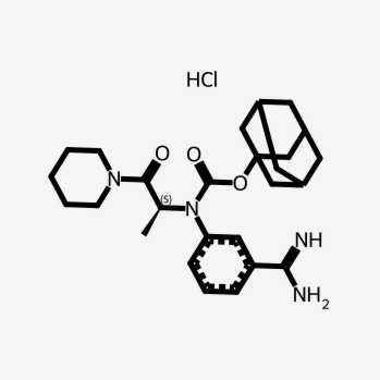 C[C@@H](C(=O)N1CCCCC1)N(C(=O)OC12CC3CC(CC(C3)C1)C2)c1cccc(C(=N)N)c1.Cl